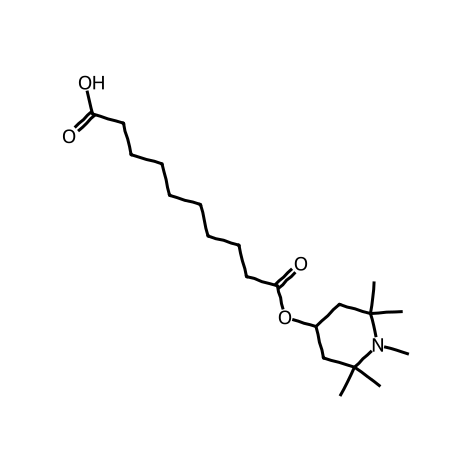 CN1C(C)(C)CC(OC(=O)CCCCCCCCC(=O)O)CC1(C)C